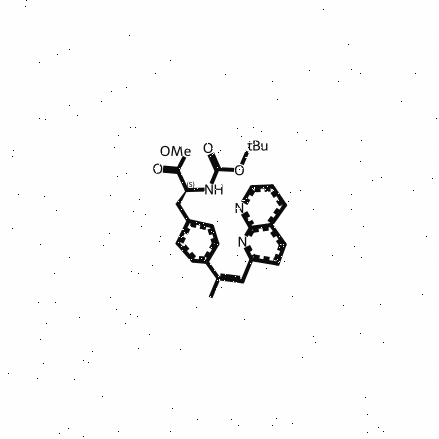 COC(=O)[C@H](Cc1ccc(C(C)=Cc2ccc3cccnc3n2)cc1)NC(=O)OC(C)(C)C